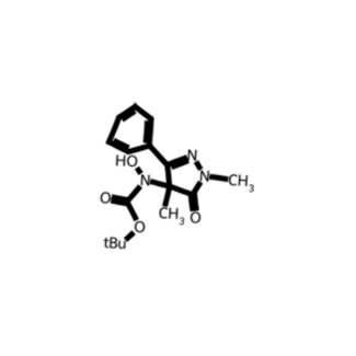 CN1N=C(c2c[c]ccc2)C(C)(N(O)C(=O)OC(C)(C)C)C1=O